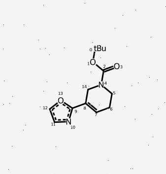 CC(C)(C)OC(=O)N1CCC=C(c2ncco2)C1